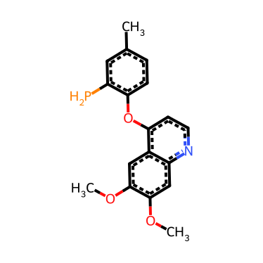 COc1cc2nccc(Oc3ccc(C)cc3P)c2cc1OC